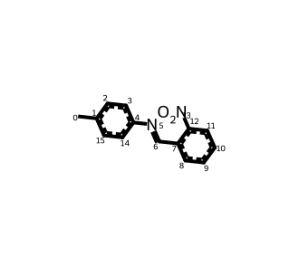 Cc1ccc(N=Cc2ccccc2[N+](=O)[O-])cc1